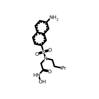 CC(C)CCN(CC(=O)NO)S(=O)(=O)c1ccc2ccc(N)cc2c1